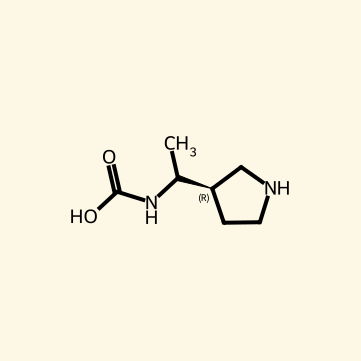 CC(NC(=O)O)[C@@H]1CCNC1